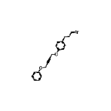 BrCCCc1ccc(OCC#CCOc2ccccc2)cc1